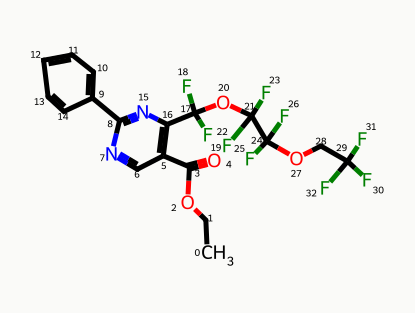 CCOC(=O)c1cnc(-c2ccccc2)nc1C(F)(F)OC(F)(F)C(F)(F)OCC(F)(F)F